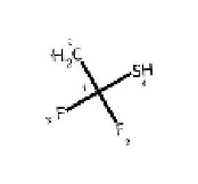 [CH2]C(F)(F)S